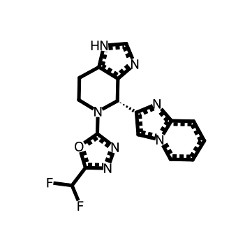 FC(F)c1nnc(N2CCc3[nH]cnc3[C@@H]2c2cn3ccccc3n2)o1